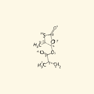 C=C(C)C(=O)OC1OC(=O)SC1C